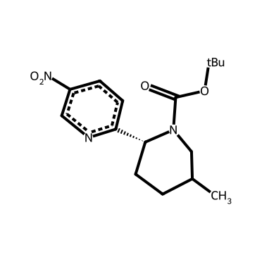 CC1CC[C@H](c2ccc([N+](=O)[O-])cn2)N(C(=O)OC(C)(C)C)C1